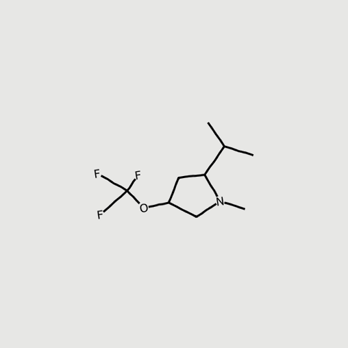 CC(C)C1CC(OC(F)(F)F)CN1C